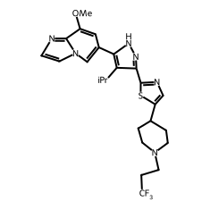 COc1cc(-c2[nH]nc(-c3ncc(C4CCN(CCC(F)(F)F)CC4)s3)c2C(C)C)cn2ccnc12